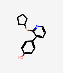 Oc1ccc(-c2cccnc2SC2CCCC2)cc1